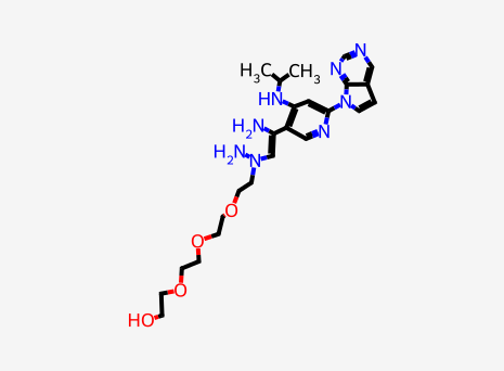 CC(C)Nc1cc(-n2ccc3cncnc32)ncc1/C(N)=C/N(N)CCOCCOCCOCCO